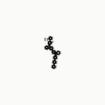 CCc1ccccc1-c1ccc(-n2c3ccccc3c3cc(-c4ccc5c(c4)c4c(n5-c5ccc(-c6ccc(-c7ccccc7)cc6)cc5)CCCC4)ccc32)cc1C